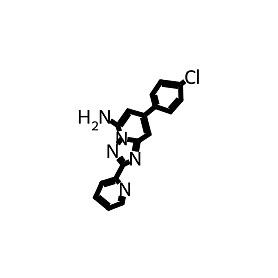 Nc1cc(-c2ccc(Cl)cc2)cc2nc(-c3ccccn3)nn12